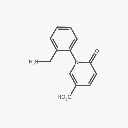 NCc1ccccc1-n1cc(C(=O)O)ccc1=O